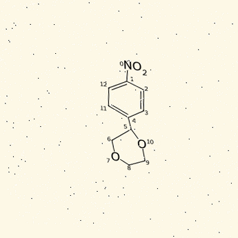 O=[N+]([O-])c1ccc(C2COCCO2)cc1